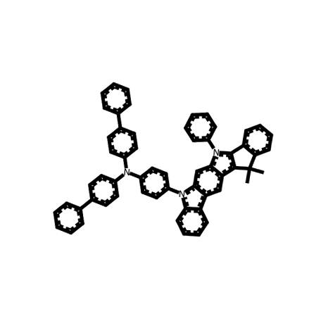 CC1(C)c2ccccc2-c2c1c1cc3c4ccccc4n(-c4ccc(N(c5ccc(-c6ccccc6)cc5)c5ccc(-c6ccccc6)cc5)cc4)c3cc1n2-c1ccccc1